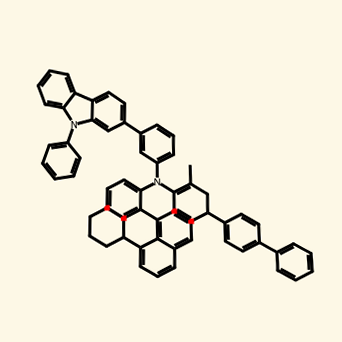 CC1=C(N(c2cccc(-c3ccc4c5ccccc5n(-c5ccccc5)c4c3)c2)c2ccccc2-c2cccc3cccc(C4CCCCC4)c23)C=CC(c2ccc(-c3ccccc3)cc2)C1